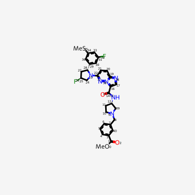 COC(=O)c1cccc(CN2CC[C@H](NC(=O)c3cnc4ccc(N5C[C@@H](F)C[C@@H]5c5cc(F)cc(SC)c5)nn34)C2)c1